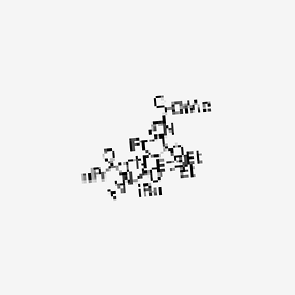 CCCC(=O)OCN(C(=O)[C@@H](N=[N+]=[N-])[C@@H](C)CC)[C@H](C[C@@H](O[Si](CC)(CC)CC)c1nc(C(=O)OC)cs1)C(C)C